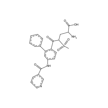 CS(=O)(=O)C(CC(N)C(=O)O)C(=O)c1ccc(NC(=O)c2cccnc2)cc1-c1ccccc1